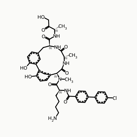 C[C@H](NC(=O)[C@@H]1Cc2ccc(O)c(c2)-c2cc(ccc2O)[C@H](N(C)C(=O)[C@H](CCCCN)NC(=O)c2ccc(-c3ccc(Cl)cc3)cc2)C(=O)N[C@@H](C)C(=O)N1)C(=O)CO